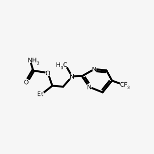 CCC(CN(C)c1ncc(C(F)(F)F)cn1)OC(N)=O